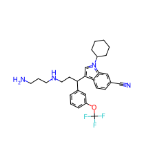 N#Cc1ccc2c(C(CCNCCCN)c3cccc(OC(F)(F)F)c3)cn(C3CCCCC3)c2c1